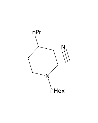 C#N.CCCCCCN1CCC(CCC)CC1